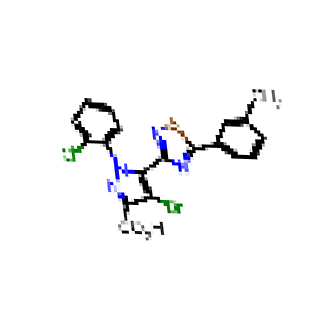 Cc1cccc(-c2nc(-c3c(Br)c(C(=O)O)nn3-c3ccccc3Cl)ns2)c1